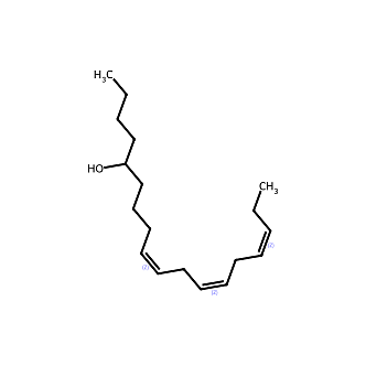 CC/C=C\C/C=C\C/C=C\CCCC(O)CCCC